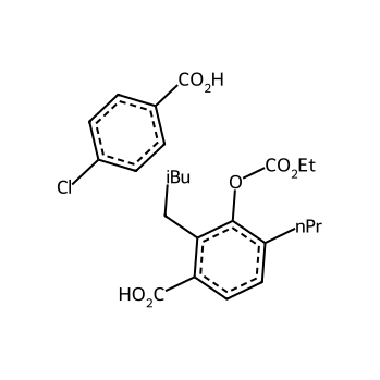 CCCc1ccc(C(=O)O)c(CC(C)CC)c1OC(=O)OCC.O=C(O)c1ccc(Cl)cc1